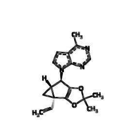 C=C[C@]12C[C@@H]1[C@@H](n1ccc3c(C)ncnc31)C1=C2OC(C)(C)O1